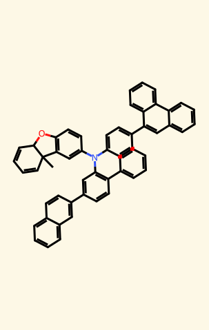 CC12C=CC=CC1Oc1ccc(N(c3ccc(-c4cc5ccccc5c5ccccc45)cc3)c3cc(-c4ccc5ccccc5c4)ccc3-c3ccccc3)cc12